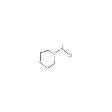 [CH2]CNN1CCCCC1